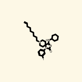 C=CCCCCCCCN1CCC2(CC1)C(NC1CCCCC1)=NC(=O)N2c1cccc(I)c1